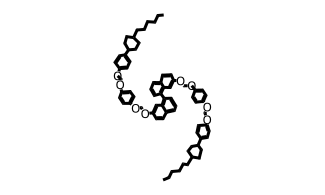 CCCCCCC1CCC(c2ccc(OCOc3ccc(OCOc4ccc5cccc(-c6cccc7ccc(OCOc8ccc(OCOc9ccc(C%10CCC(CCCCCC)CC%10)cc9)cc8)cc67)c5c4)cc3)cc2)CC1